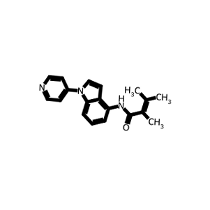 CC(C)=C(C)C(=O)Nc1cccc2c1ccn2-c1ccncc1